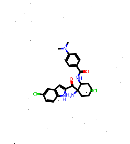 CN(C)c1ccc(C(=O)NC2CCCCC2(N)C(=O)c2cc3cc(Cl)ccc3[nH]2)cc1.Cl